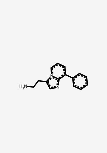 NCCc1cnc2c(-c3ccccc3)cccn12